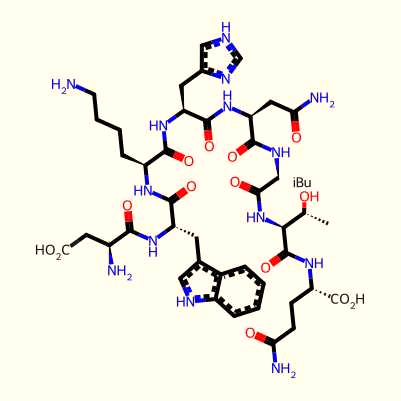 CC[C@H](C)[C@H](NC(=O)[C@H](CC(N)=O)NC(=O)[C@H](Cc1c[nH]cn1)NC(=O)[C@H](CCCCN)NC(=O)[C@H](Cc1c[nH]c2ccccc12)NC(=O)[C@@H](N)CC(=O)O)C(=O)N[C@H](C(=O)N[C@@H](CCC(N)=O)C(=O)O)[C@@H](C)O